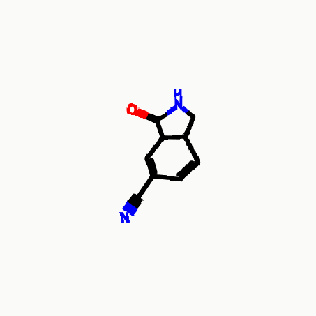 N#CC1=CC2C(=O)NCC2C=C1